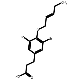 CCC=CCOc1c(Br)cc(CCC(=O)O)cc1Br